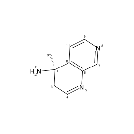 C[C@@]1(N)CC=Nc2cnccc21